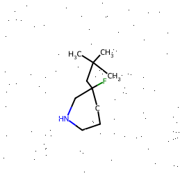 CC(C)(C)CC1(F)CCCNC1